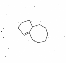 [CH]1CC=C2CCCCCCC2C1